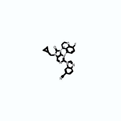 N#Cc1ccc2ncn(-c3ncc4c(n3)n([C@@H]3CCOc5c(F)ccc(F)c53)c(=O)n4CC3CC3)c2c1